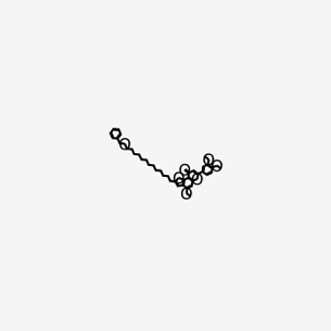 COc1ccc(-c2cc(=O)c3c(cc(OC)c4cc(CCCCCCCCCCCCCOCc5ccccc5)oc43)o2)cc1OC